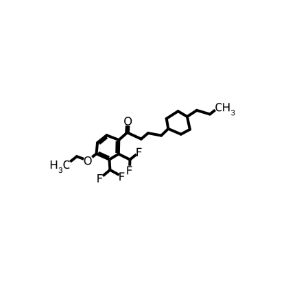 CCCC1CCC(CCCC(=O)c2ccc(OCC)c(C(F)F)c2C(F)F)CC1